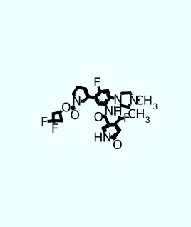 CC1CN(c2cc(F)c(C3=CCCN(C(=O)OC4CC(F)(F)C4)C3)cc2NC(=O)c2c[nH]c(=O)cc2C(F)F)CCN1C